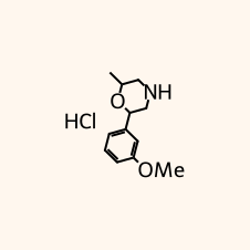 COc1cccc(C2CNCC(C)O2)c1.Cl